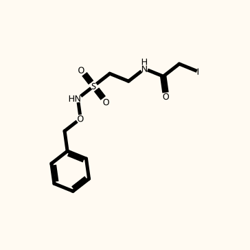 O=C(CI)NCCS(=O)(=O)NOCc1ccccc1